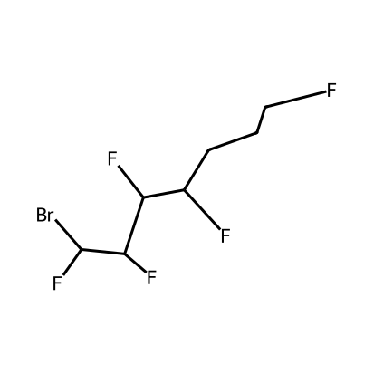 FCCCC(F)C(F)C(F)C(F)Br